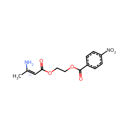 C/C(N)=C/C(=O)OCCOC(=O)c1ccc([N+](=O)[O-])cc1